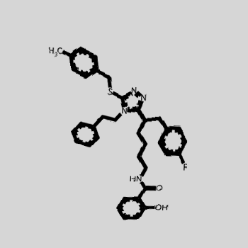 Cc1ccc(CSc2nnc(C(CCCCNC(=O)c3ccccc3O)Cc3ccc(F)cc3)n2CCc2ccccc2)cc1